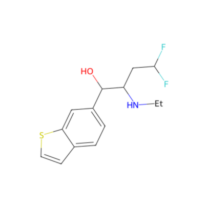 CCNC(CC(F)F)C(O)c1ccc2ccsc2c1